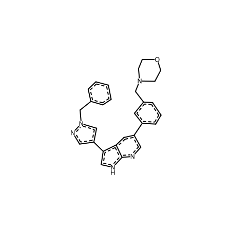 c1ccc(Cn2cc(-c3c[nH]c4ncc(-c5cccc(CN6CCOCC6)c5)cc34)cn2)cc1